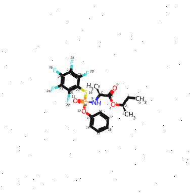 CC[C@@H](C)OC(=O)[C@H](C)N[P@](=O)(Oc1ccccc1)Sc1c(F)c(F)c(F)c(F)c1F